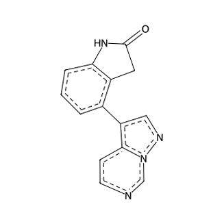 O=C1Cc2c(cccc2-c2cnn3cnccc23)N1